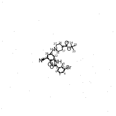 Cc1c(Br)cccc1C(=O)Nc1cc(CN2CCC(C(=O)OC(C)(C)C)CC2)cc(C#N)c1O